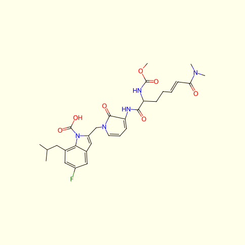 COC(=O)NC(CC/C=C/C(=O)N(C)C)C(=O)Nc1cccn(Cc2cc3cc(F)cc(CC(C)C)c3n2C(=O)O)c1=O